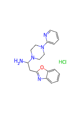 Cl.NC(Cc1nc2ccccc2o1)N1CCN(c2ccccn2)CC1